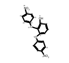 O=[N+]([O-])c1ccc(Oc2cccc(O)c2Oc2ccc([N+](=O)[O-])cc2)cc1